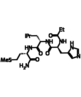 CCC(=O)N[C@@H](Cc1cnc[nH]1)C(=O)N[C@@H](CC(C)C)C(=O)N[C@@H](CCSC)C(N)=O